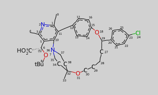 Cc1nc(C)c([C@H](OC(C)(C)C)C(=O)O)c2c1-c1ccc(cc1)OC(c1ccc(Cl)cc1)CCCCOC1(C)CCN2CC1